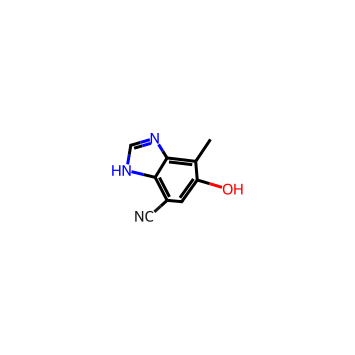 Cc1c(O)cc(C#N)c2[nH]cnc12